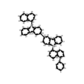 c1ccc(-c2cccc3c(-n4c5ccccc5c5cc(-c6ccc7c(c6)c6ccccc6n7-c6cccc7ccccc67)ccc54)cccc23)cc1